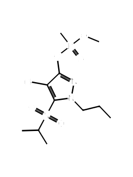 CCCn1nc(OP(C)(=O)OC)c(Cl)c1S(=O)(=O)C(C)C